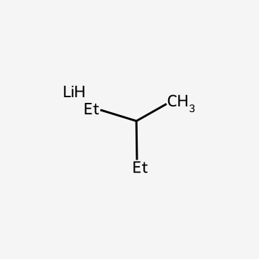 CCC(C)CC.[LiH]